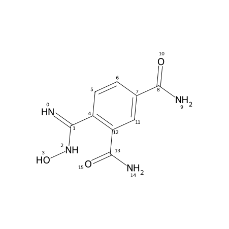 N=C(NO)c1ccc(C(N)=O)cc1C(N)=O